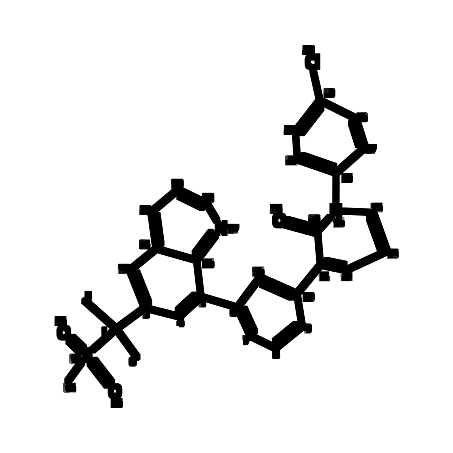 CC(C)(c1cc(-c2cccc(-c3cccn(-c4ccc(Cl)cc4)c3=O)c2)c2ncccc2c1)S(C)(=O)=O